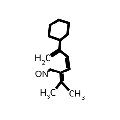 C=C(/C=C\C(CN=O)=C(C)C)C1CCCCC1